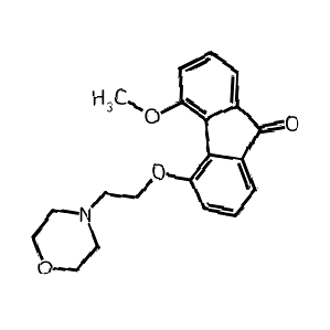 COc1cccc2c1-c1c(OCCN3CCOCC3)cccc1C2=O